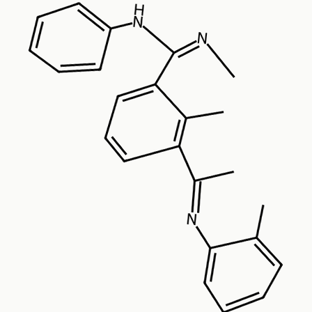 C/N=C(/Nc1ccccc1)c1cccc(/C(C)=N/c2ccccc2C)c1C